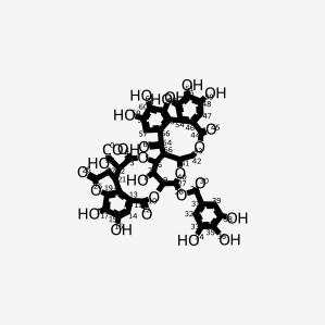 O=C(O)CC1C(=O)OC2C(O)C(OC(=O)c3cc(O)c(O)c4c3C1C(O)C(=O)O4)C(OC(=O)c1cc(O)c(O)c(O)c1)OC1COC(=O)c3cc(O)c(O)c(O)c3-c3c(cc(O)c(O)c3O)C(=O)C12